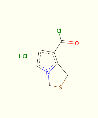 Cl.O=C(Cl)c1ccn2c1CSC2